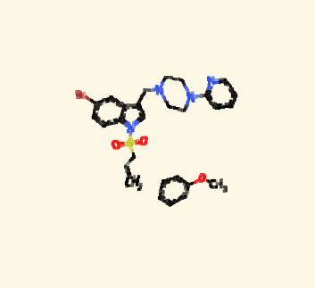 C=CCS(=O)(=O)n1cc(CN2CCN(c3ccccn3)CC2)c2cc(Br)ccc21.COc1ccccc1